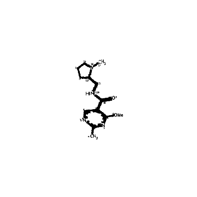 COc1nc(C)ncc1C(=O)NCC1CCCN1C